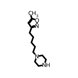 Cc1cc(CCCCCN2CCNCC2)no1